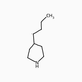 CCC[CH]C1CCNCC1